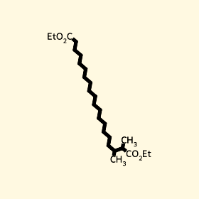 CCOC(=O)CCCCCCCCCCCCCCCCC(C)C(C)C(=O)OCC